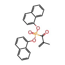 C=C(C)C(=O)P(=O)(Oc1cccc2ccccc12)Oc1cccc2ccccc12